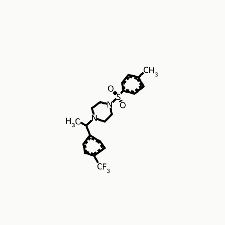 Cc1ccc(S(=O)(=O)N2CCN(C(C)c3ccc(C(F)(F)F)cc3)CC2)cc1